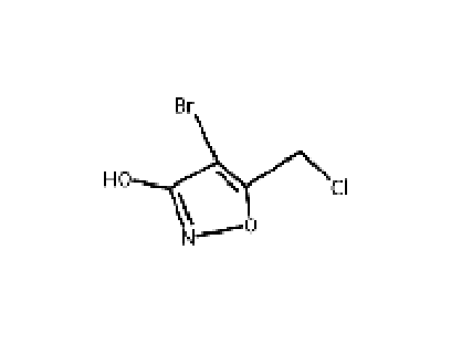 Oc1noc(CCl)c1Br